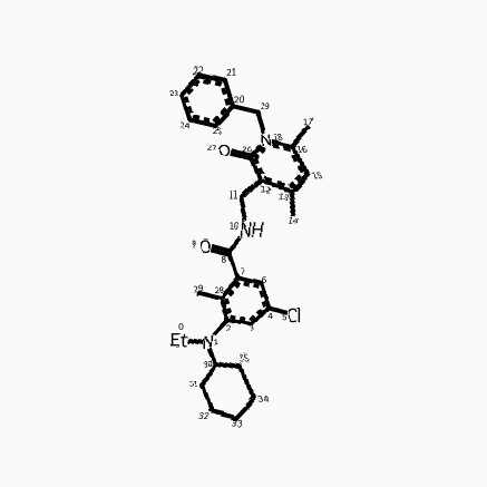 CCN(c1cc(Cl)cc(C(=O)NCc2c(C)cc(C)n(Cc3ccccc3)c2=O)c1C)C1CCCCC1